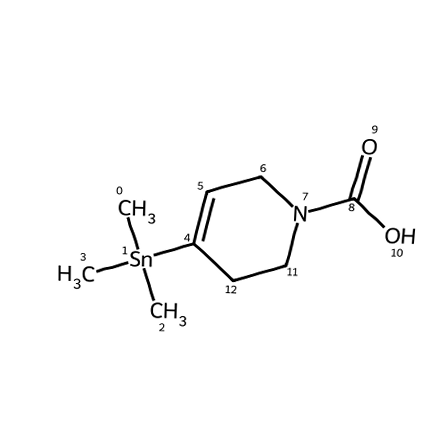 [CH3][Sn]([CH3])([CH3])[C]1=CCN(C(=O)O)CC1